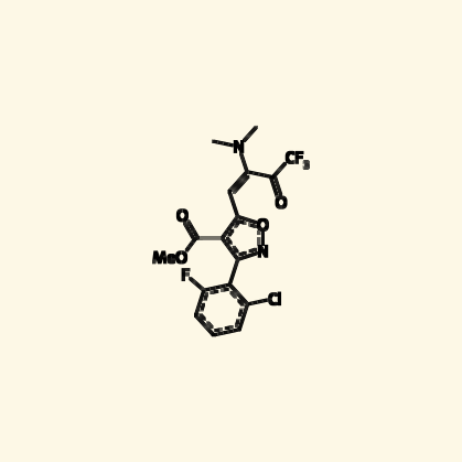 COC(=O)c1c(-c2c(F)cccc2Cl)noc1/C=C(\C(=O)C(F)(F)F)N(C)C